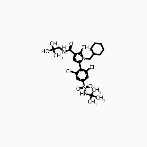 Cc1c(C(=O)NCC(C)(C)O)cc(-c2c(Cl)cc(S(=O)(=O)NC(C)(C)C)cc2Cl)n1CC1CCCCC1